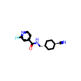 N#C[C@H]1CC[C@H](CNC(=O)c2ccnc(F)c2)CC1